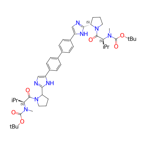 CC(C)[C@@H](C(=O)N1CCCC1c1ncc(-c2ccc(-c3ccc(-c4cnc([C@@H]5CCCN5C(=O)[C@H](C(C)C)N(C)C(=O)OC(C)(C)C)[nH]4)cc3)cc2)[nH]1)N(C)C(=O)OC(C)(C)C